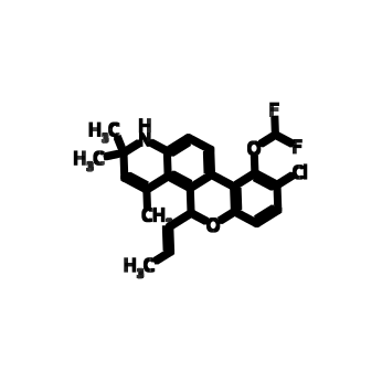 CC=CC1Oc2ccc(Cl)c(OC(F)F)c2-c2ccc3c(c21)C(C)=CC(C)(C)N3